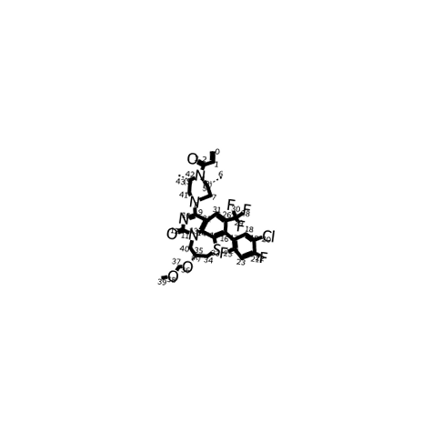 C=CC(=O)N1[C@H](C)CN(c2nc(=O)n3c4c(c(-c5cc(Cl)c(F)cc5F)c(C(F)(F)F)cc24)SC[C@H](OCOC)C3)C[C@@H]1C